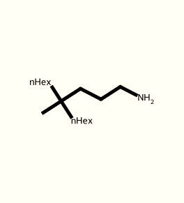 CCCCCCC(C)(CCCN)CCCCCC